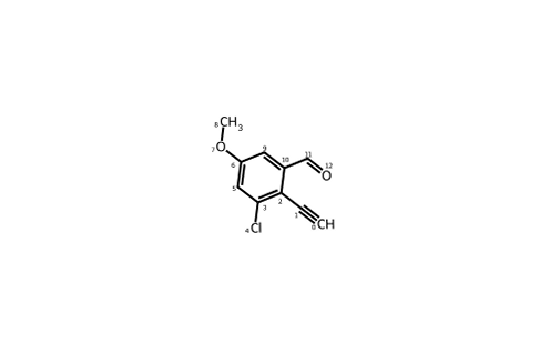 C#Cc1c(Cl)cc(OC)cc1C=O